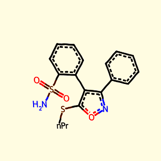 CCCSc1onc(-c2ccccc2)c1-c1ccccc1S(N)(=O)=O